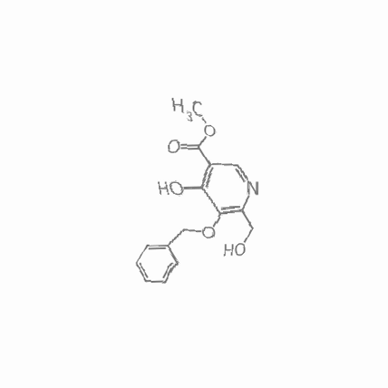 COC(=O)c1cnc(CO)c(OCc2ccccc2)c1O